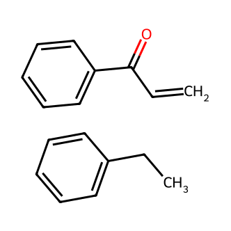 C=CC(=O)c1ccccc1.CCc1ccccc1